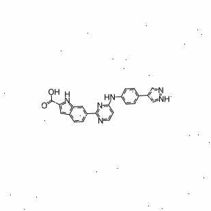 O=C(O)c1cc2ccc(-c3nccc(Nc4ccc(-c5cn[nH]c5)cc4)n3)cc2[nH]1